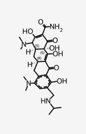 CC(C)NCc1cc(N(C)C)c2c(c1O)C(=O)C1=C(O)[C@]3(O)C(=O)C(C(N)=O)=C(O)C(N(C)C)[C@@H]3C[C@@H]1C2